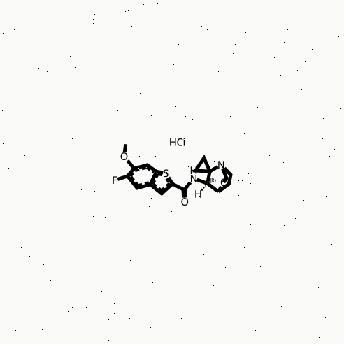 COc1cc2sc(C(=O)N[C@@H]3C4CCN(CC4)C34CC4)cc2cc1F.Cl